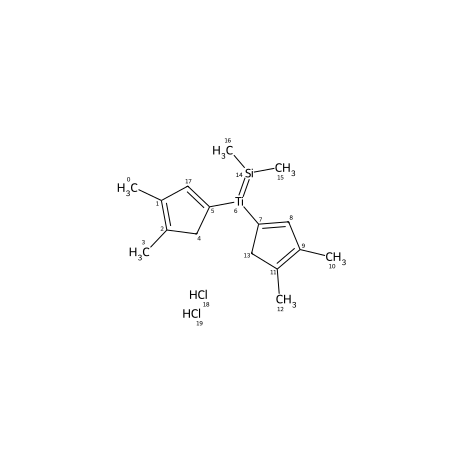 CC1=C(C)C[C]([Ti]([C]2=CC(C)=C(C)C2)=[Si](C)C)=C1.Cl.Cl